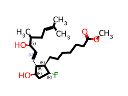 COC(=O)CCCCCC[C@@H]1[C@@H](/C=C/[C@@H](O)C(C)CC=C(C)C)[C@H](O)C[C@H]1F